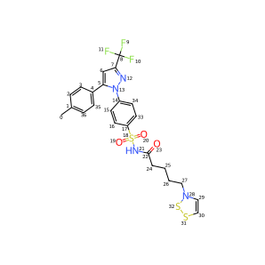 Cc1ccc(-c2cc(C(F)(F)F)nn2-c2ccc(S(=O)(=O)NC(=O)CCCCN3C=CSS3)cc2)cc1